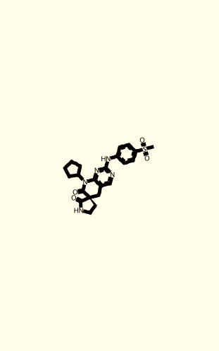 CS(=O)(=O)c1ccc(Nc2ncc3c(n2)N(C2CCCC2)C(=O)[C@]2(CCNC2=O)C3)cc1